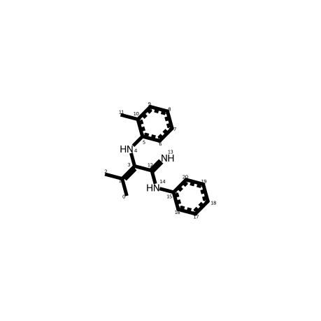 CC(C)=C(Nc1ccccc1C)C(=N)Nc1ccccc1